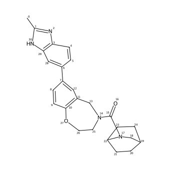 Cc1nc2ccc(-c3ccc4c(c3)CN(C(=O)N3CC5CCC3CC5)CCO4)cc2[nH]1